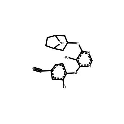 N#Cc1ccc(Nc2ncnc(OC3CC4CCC(C3)N4)c2O)c(Cl)c1